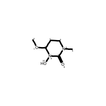 COC1CCN(C)C(=O)N1O